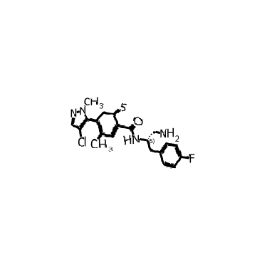 CC1=C(c2c(Cl)cnn2C)CC(=S)C(C(=O)N[C@H](CN)Cc2ccc(F)cc2)=C1